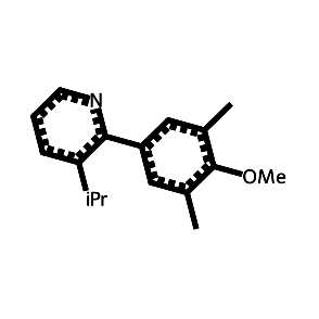 COc1c(C)cc(-c2ncccc2C(C)C)cc1C